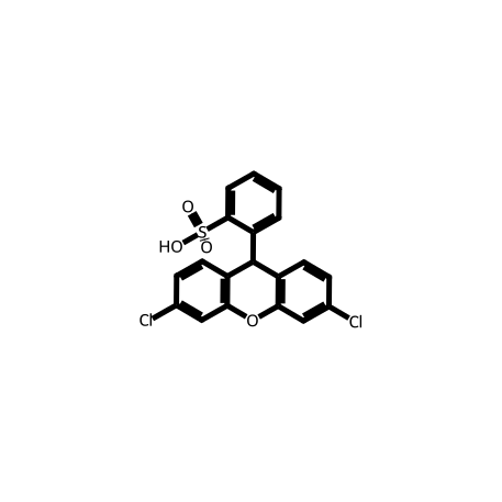 O=S(=O)(O)c1ccccc1C1c2ccc(Cl)cc2Oc2cc(Cl)ccc21